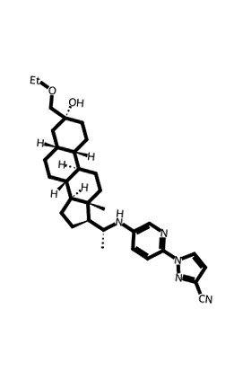 CCOC[C@@]1(O)CC[C@H]2[C@H](CC[C@@H]3[C@@H]2CC[C@]2(C)[C@@H]([C@@H](C)Nc4ccc(-n5ccc(C#N)n5)nc4)CC[C@@H]32)C1